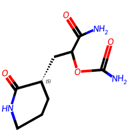 NC(=O)OC(C[C@@H]1CCCNC1=O)C(N)=O